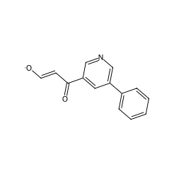 [O]C=CC(=O)c1cncc(-c2ccccc2)c1